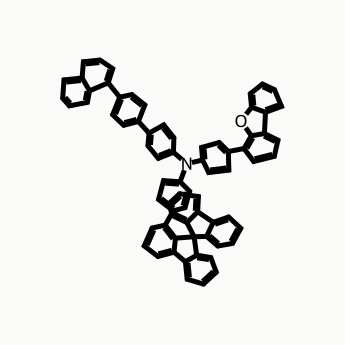 c1ccc2c(c1)-c1ccccc1C21c2ccccc2-c2cccc(-c3ccc(N(c4ccc(-c5ccc(-c6cccc7ccccc67)cc5)cc4)c4ccc(-c5cccc6c5oc5ccccc56)cc4)cc3)c21